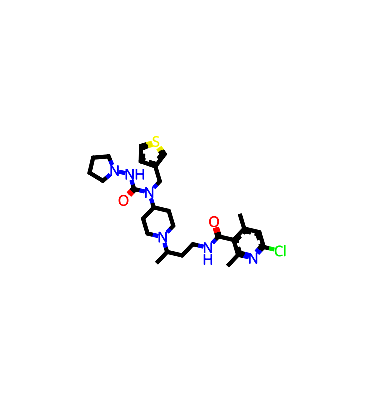 Cc1cc(Cl)nc(C)c1C(=O)NCCC(C)N1CCC(N(Cc2ccsc2)C(=O)NN2CCCC2)CC1